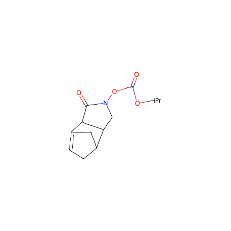 CC(C)OC(=O)ON1CC2C3CC=C(C3)C2C1=O